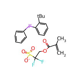 C=C(C)C(=O)OCC(F)(F)S(=O)(=O)[O-].CC(C)(C)c1ccccc1[I+]c1ccccc1